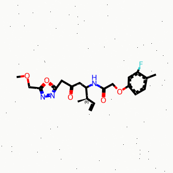 C=C[C@@H](C)C(CC(=O)Cc1nnc(COC)o1)NC(=O)COc1ccc(C)c(F)c1